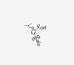 CNS(=O)(=O)c1ccc(OCC(C)C)c(C(=O)O)c1